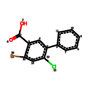 O=C(O)c1cc(-c2ccccc2)c(Cl)cc1Br